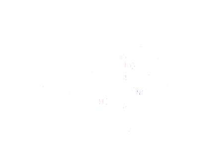 CC1(C)OC2(CCC[N+]2(C(=O)O)C(=O)OCc2ccccc2)O1